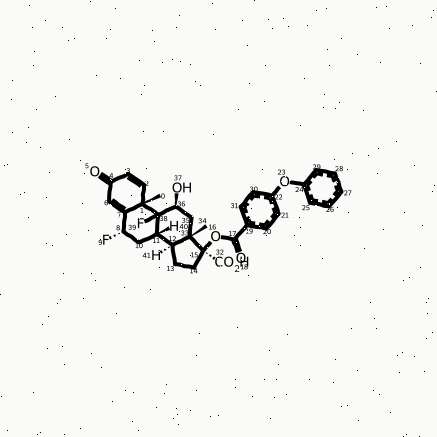 C[C@]12C=CC(=O)C=C1[C@@H](F)C[C@H]1[C@@H]3CC[C@@](OC(=O)c4ccc(Oc5ccccc5)cc4)(C(=O)O)[C@@]3(C)C[C@H](O)C12F